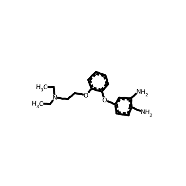 CCN(CC)CCOc1ccccc1Oc1ccc(N)c(N)c1